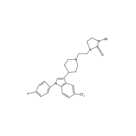 CC(C)N1CCN(CCN2CCC(c3cn(-c4ccc(F)cc4)c4ccc(C(F)(F)F)cc34)CC2)C1=O